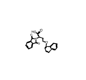 O=C(O)C(CCOc1cccc2ccccc12)N1C(=O)c2ccccc2C1=O